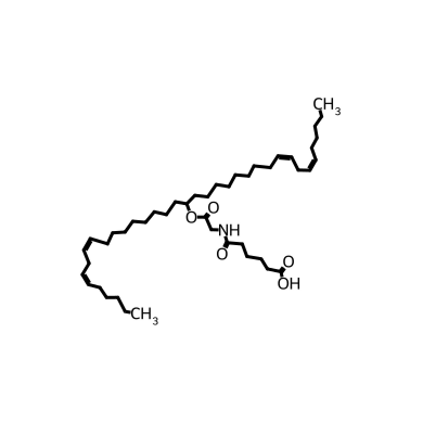 CCCCC/C=C\C/C=C\CCCCCCCCC(CCCCCCCC/C=C\C/C=C\CCCCC)OC(=O)CNC(=O)CCCCC(=O)O